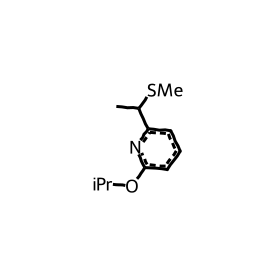 CSC(C)c1cccc(OC(C)C)n1